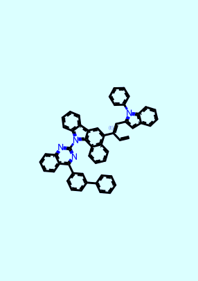 C=C/C(=C\c1cc2ccccc2n1-c1ccccc1)c1cc2c3ccccc3n(-c3nc(-c4cccc(-c5ccccc5)c4)c4ccccc4n3)c2c2ccccc12